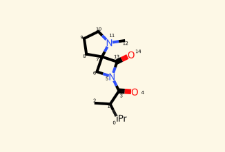 CC(C)C(C)C(=O)N1CC2(CCCN2C)C1=O